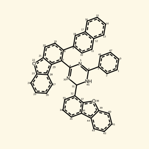 c1ccc(C2=NC(c3c(-c4ccc5ccccc5c4)ccc4oc5ccccc5c34)=NC(c3cccc4c3oc3ccccc34)N2)cc1